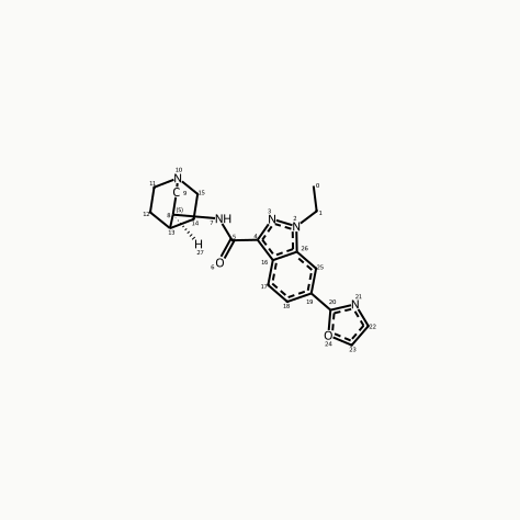 CCn1nc(C(=O)N[C@@H]2CN3CCC2CC3)c2ccc(-c3ncco3)cc21